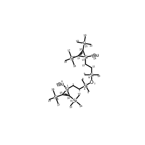 CC(C)(C)[Si]1(CC[Si](C)(C)O[Si](C)(C)CC[Si]2(C(C)(C)C)C([Si](C)(C)C)=C2[Si](C)(C)C)C([Si](C)(C)C)=C1[Si](C)(C)C